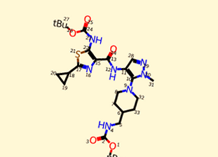 CCCCOC(=O)NCC1CCN(c2c(NC(=O)c3nc(C4CC4)sc3NC(=O)OC(C)(C)C)cnn2C)CC1